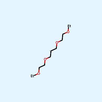 CCOCCOC[CH]COCCOCC